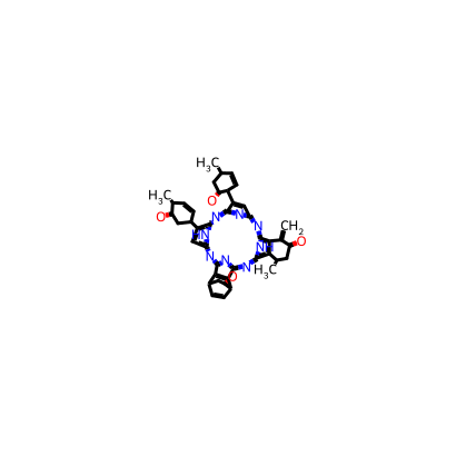 C=C1C(=O)CC(C)c2c1c1nc3nc(nc4[nH]c(cc4C4C=CC(C)C(=O)C4)nc4nc(nc2[nH]1)C1=C4C2C=CC1C(=O)C2)C(C1C=CC(C)CC1=O)=C3